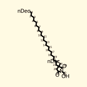 CCCCCCCCCCCCCCCCCCCCCCCCCCCCCCCCC1(CCCCCCCCCCC)CC(=O)N(CO)C1=O